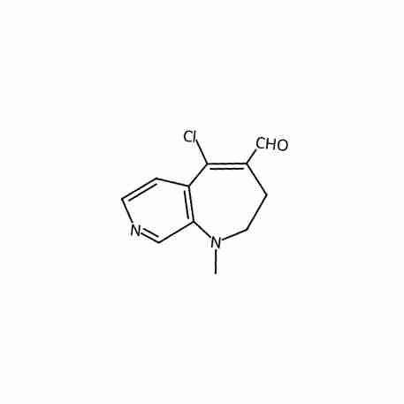 CN1CCC(C=O)=C(Cl)c2ccncc21